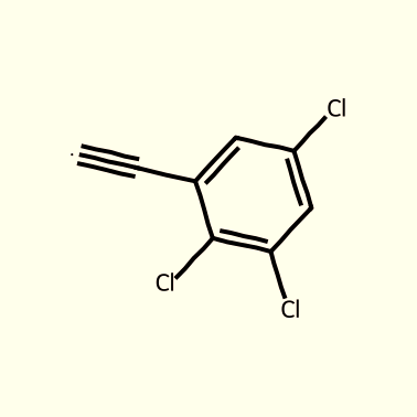 [C]#Cc1cc(Cl)cc(Cl)c1Cl